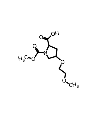 COCCOC1CC(C(=O)O)N(C(=O)OC)C1